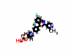 Cc1cc(/C(C[C@H](c2ccc(N3C[C@@H]4C(OC(=O)O)[C@@H]4C3)cc2)c2ccc(F)cc2F)=N/O)ccn1